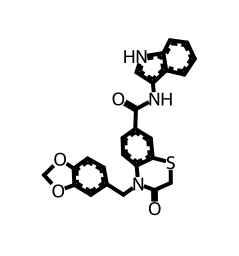 O=C(Nc1c[nH]c2ccccc12)c1ccc2c(c1)SCC(=O)N2Cc1ccc2c(c1)OCO2